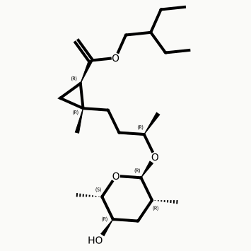 C=C(OCC(CC)CC)[C@@H]1C[C@@]1(C)CC[C@@H](C)O[C@@H]1O[C@@H](C)[C@H](O)C[C@H]1C